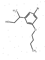 [CH2]C(CO)c1cc(Br)cc(OCCCC)c1